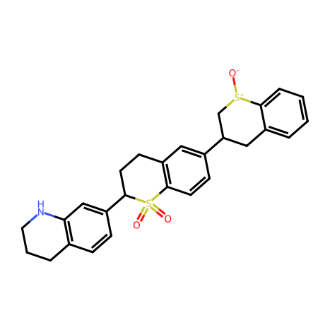 O=S1(=O)c2ccc(C3Cc4ccccc4[S+]([O-])C3)cc2CCC1c1ccc2c(c1)NCCC2